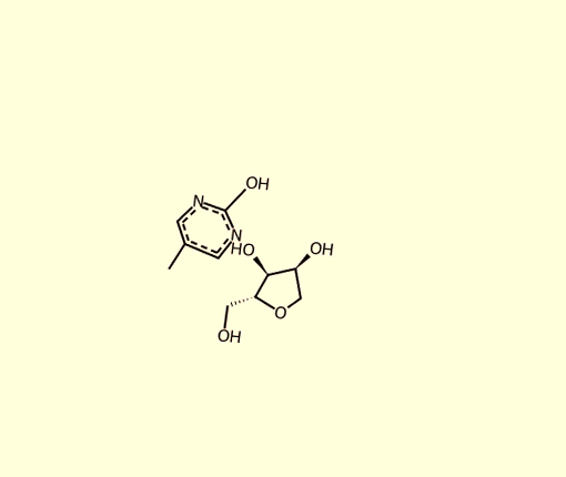 Cc1cnc(O)nc1.OC[C@H]1OC[C@H](O)[C@@H]1O